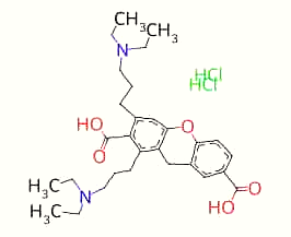 CCN(CC)CCCc1cc2c(c(CCCN(CC)CC)c1C(=O)O)Cc1cc(C(=O)O)ccc1O2.Cl.Cl